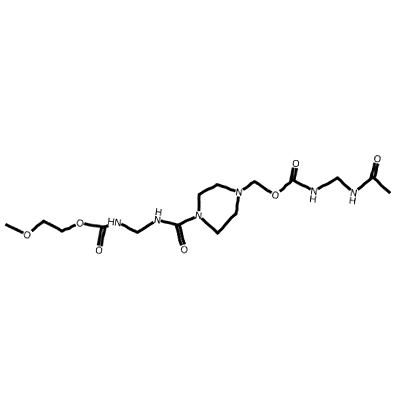 COCCOC(=O)NCNC(=O)N1CCN(COC(=O)NCNC(C)=O)CC1